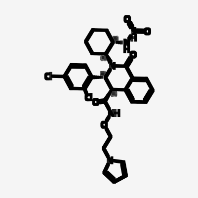 O=C(NOCCn1cccc1)[C@@H]1c2ccccc2C(=O)N([C@H]2CCCC[C@@H]2N[SH](=O)=O)[C@H]1c1ccc(Cl)cc1Cl